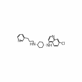 Clc1ccc2c(N[C@H]3CC[C@@H](NCCCc4cccnc4)CC3)ccnc2c1